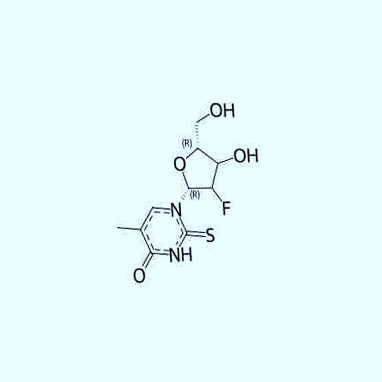 Cc1cn([C@@H]2O[C@H](CO)C(O)C2F)c(=S)[nH]c1=O